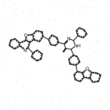 C=C1C(c2ccc(-c3ccc4oc5c6ccccc6nc(-c6ccccc6)c5c4c3)cc2)=NC(c2ccccc2)NC1c1ccc(-c2cccc3c2oc2ccccc23)cc1